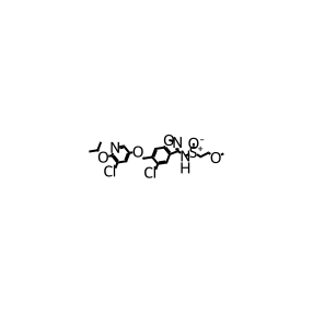 COCC[S+]([O-])Nc1noc2cc(COc3cnc(OC(C)C)c(Cl)c3)c(Cl)cc12